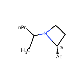 CCCC(C)N1CC[C@H]1C(C)=O